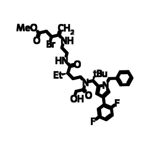 C=C(NCCNC(=O)[C@@H](CC)CCN(C(=O)CO)[C@@H](c1cc(-c2cc(F)ccc2F)cn1Cc1ccccc1)C(C)(C)C)C(Br)CC(=O)OC